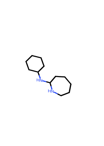 C1CCC(NC2CCCCCN2)CC1